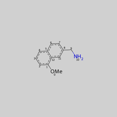 COc1cccc2ccc(CN)cc12